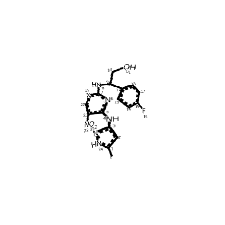 Cc1cc(Nc2nc(NC(CO)c3ccc(F)cc3)ncc2[N+](=O)[O-])n[nH]1